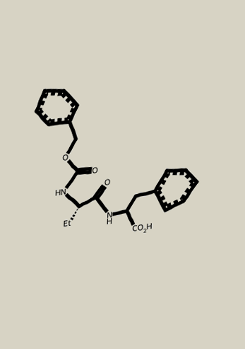 CC[C@H](NC(=O)OCc1ccccc1)C(=O)NC(Cc1ccccc1)C(=O)O